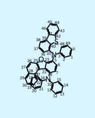 c1ccc(N(c2ccc(N(c3ccccc3)c3ccccc3)c3c2oc2ccc4ccccc4c23)c2cccc3c2sc2ccccc23)cc1